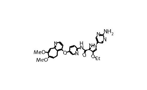 CCOc1cn(-c2cnc(N)nc2)nc1C(=O)Nc1ccc(Oc2ccnc3c2CC=C(OC)C(OC)=C3)cn1